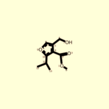 COC(=O)c1c(CO)coc1C(C)C